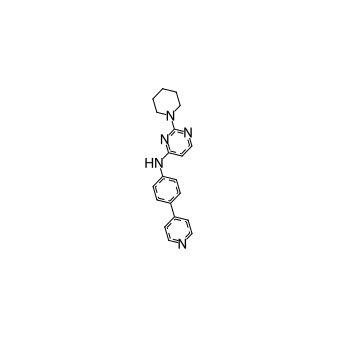 c1cc(-c2ccc(Nc3ccnc(N4CCCCC4)n3)cc2)ccn1